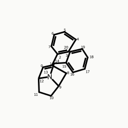 C1=C(c2ccccc2)CC2CCC1N2Cc1ccccc1